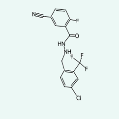 N#Cc1ccc(F)c(C(=O)NNCc2ccc(Cl)cc2C(F)(F)F)c1